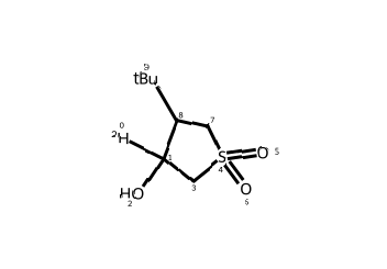 [2H]C1(O)CS(=O)(=O)CC1C(C)(C)C